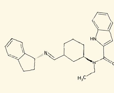 CCN(C(=O)c1cc2ccccc2[nH]1)[C@@H]1CCCC(/C=N/[C@@H]2CCc3ccccc32)C1